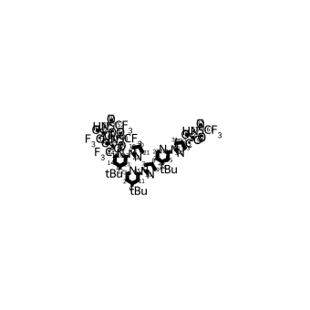 CC(C)(C)c1ccnc(-n2cccn2)c1.CC(C)(C)c1ccnc(-n2cccn2)c1.CC(C)(C)c1ccnc(-n2cccn2)c1.O=S(=O)(NS(=O)(=O)C(F)(F)F)C(F)(F)F.O=S(=O)(NS(=O)(=O)C(F)(F)F)C(F)(F)F.O=S(=O)(NS(=O)(=O)C(F)(F)F)C(F)(F)F